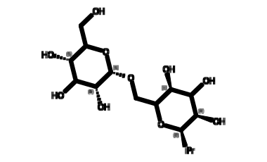 CC(C)[C@H]1OC(CO[C@H]2OC(CO)[C@@H](O)C(O)[C@H]2O)[C@@H](O)C(O)[C@H]1O